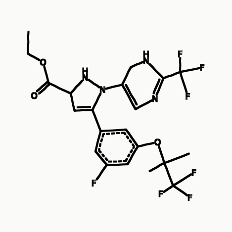 CCOC(=O)C1C=C(c2cc(F)cc(OC(C)(C)C(F)(F)F)c2)N(C2=CN=C(C(F)(F)F)NC2)N1